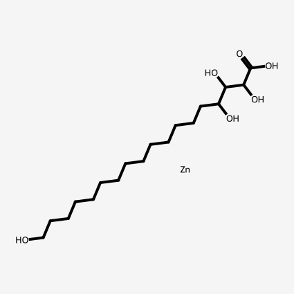 O=C(O)C(O)C(O)C(O)CCCCCCCCCCCCCCO.[Zn]